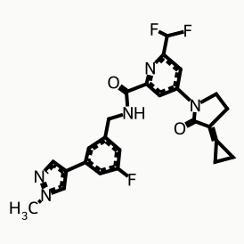 Cn1cc(-c2cc(F)cc(CNC(=O)c3cc(N4CCC(=C5CC5)C4=O)cc(C(F)F)n3)c2)cn1